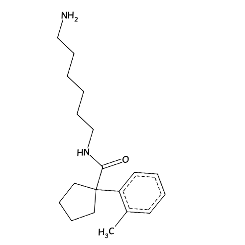 Cc1ccccc1C1(C(=O)NCCCCCCN)CCCC1